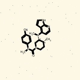 C[C@@H]1CCN(C(=O)N(C)c2ccc(C#N)cc2)C[C@@H]1N(C)c1ccnc2[nH]ccc12